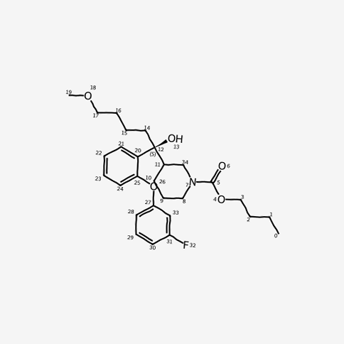 CCCCOC(=O)N1CCCC([C@@](O)(CCCCOC)c2ccccc2Oc2cccc(F)c2)C1